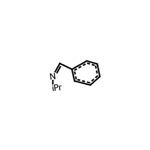 CC(C)/N=C\c1ccccc1